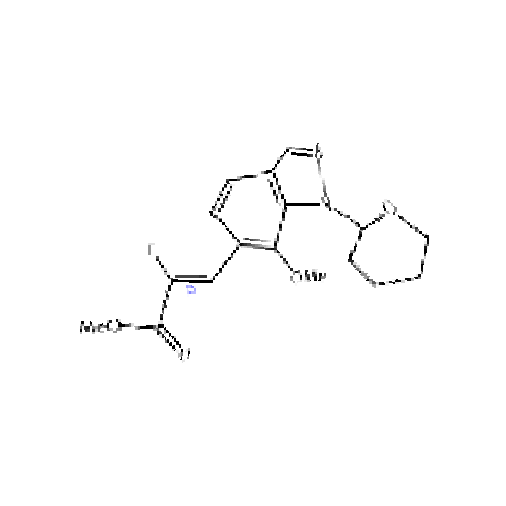 COC(=O)/C(F)=C/c1ccc2cnn(C3CCCCO3)c2c1OC